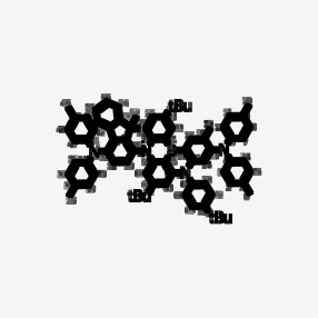 Cc1ccc(N(c2ccc(C)cc2)c2cc3c(cc2C)B2c4cc(C(C)(C)C)ccc4N(c4ccc(N(c5ccc(C)cc5)c5ccc(C)cc5)c5c4C(C)(C)c4ccccc4-5)c4cc(C(C)(C)C)cc(c42)N3c2ccc(C(C)(C)C)cc2)cc1